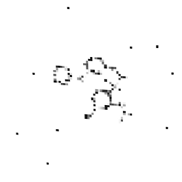 CC(Cc1cccc(Oc2ccccc2)c1)C(C)(C)c1ccc(Br)cc1OC(F)F